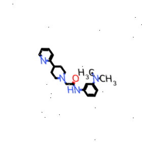 CN(C)c1cccc(NC(=O)CN2CCC(c3ccccn3)CC2)c1